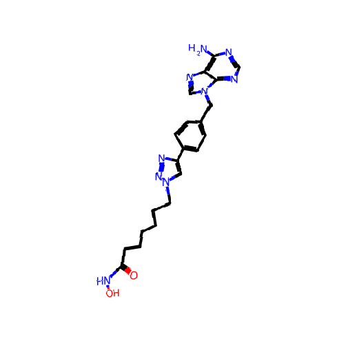 Nc1ncnc2c1ncn2Cc1ccc(-c2cn(CCCCCCC(=O)NO)nn2)cc1